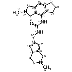 CN1CCc2sc(SNC(=O)Nc3c4c(cc5c3CN(C)C5)CCC4)cc2C1